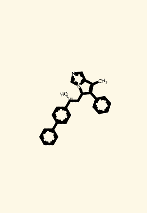 CC1=C(c2ccccc2)C(C[C@@H](O)c2ccc(-c3ccccc3)cc2)n2cncc21